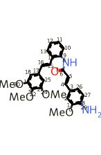 COc1cc(/C=C/C(=O)Nc2ccccc2C=Cc2cc(OC)c(OC)c(OC)c2)ccc1N